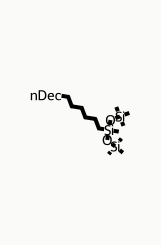 CCCCCCCCCCCCCCCC[Si](C)(O[Si](C)(C)C)O[Si](C)(C)C